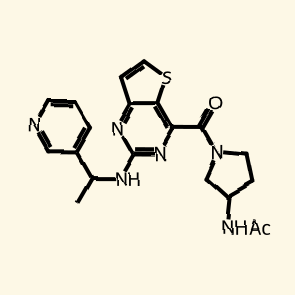 CC(=O)NC1CCN(C(=O)c2nc(NC(C)c3cccnc3)nc3ccsc23)C1